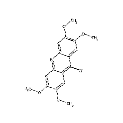 COc1cc2nc3cc(OC)c(OC)cc3c(Cl)c2cc1OC